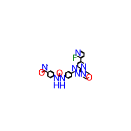 CN(C)C(=O)c1ccc(NC(=O)Nc2ccc(-c3nc(N4CCOCC4)c4ncc(-c5cccnc5F)cc4n3)cc2)cc1